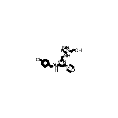 OCCn1nnnc1NCc1nc(NN=Cc2ccc(Cl)cc2)cc(N2CCOCC2)n1